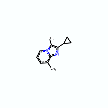 Cc1cccn2c(C)c(C3CC3)nc12